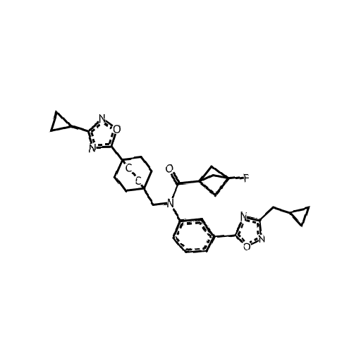 O=C(N(CC12CCC(c3nc(C4CC4)no3)(CC1)CC2)c1cccc(-c2nc(CC3CC3)no2)c1)C12CC(F)(C1)C2